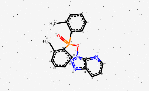 Cc1ccccc1P(=O)(On1nnc2cccnc21)c1ccccc1C